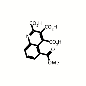 COC(=O)c1cccc2nc(C(=O)O)c(C(=O)O)c(C(=O)O)c12